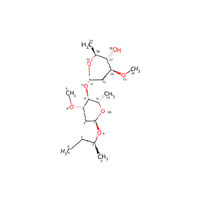 CC[C@H](C)O[C@H]1C[C@H](OC)[C@@H](O[C@H]2C[C@H](OC)[C@@H](O)[C@H](C)O2)[C@H](C)O1